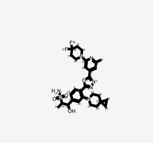 Cc1cc(-c2nnc(-c3ccc(C(O)C(C)S(N)(=O)=O)cc3N3CCC4(CC3)CC4)o2)cc(N2CCC(F)(F)CC2)n1